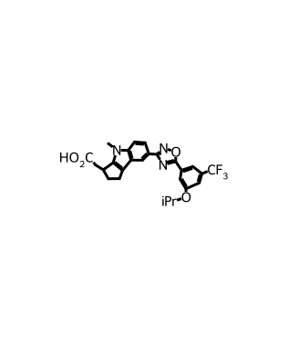 CC(C)Oc1cc(-c2nc(-c3ccc4c(c3)c3c(n4C)C(CC(=O)O)CC3)no2)cc(C(F)(F)F)c1